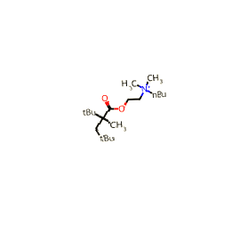 CCCC[N+](C)(C)CCOC(=O)C(C)(CC(C)(C)C)C(C)(C)C